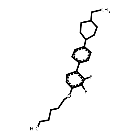 CCCCCCOc1ccc(-c2ccc(C3CCC(CC)CC3)cc2)c(F)c1F